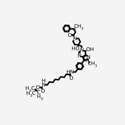 C[C@H](CC(=O)N1CCC(O)(CN2C=Nc3c(nn(C)c3-c3ccc(CNC(=O)CCCCCCCCNC(=O)OC(C)(C)C)cc3)C2O)CC1)c1ccccc1